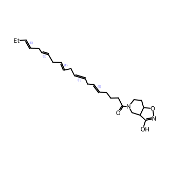 CC/C=C/C/C=C/C/C=C/C/C=C/C/C=C/CCCC(=O)N1CCC2ON=C(O)C2C1